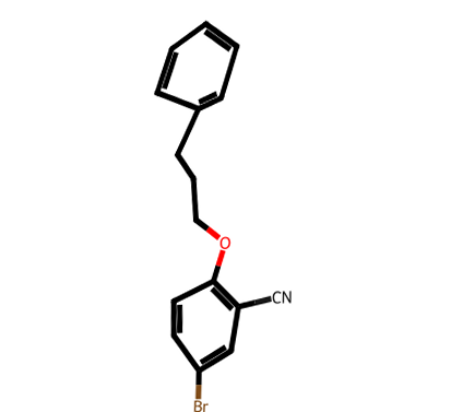 N#Cc1cc(Br)ccc1OCCCc1ccccc1